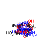 CC[C@H](C)[C@H](NC(=O)[C@H](CC(C)C)NC(=O)[C@H](CC(C)C)NC(=O)[C@H](CCCCN)NC(=O)[C@@H]1CCCN1C(=O)[C@@H]1CCCN1C(=O)[C@H](CCC(N)=O)NC(=O)CNC(=O)[C@@H]1CCCN1C(=O)[C@@H](N)CCCCN)C(=O)N[C@@H](Cc1ccc(O)cc1)C(=O)NCC(=O)N[C@@H](C)C(=O)N[C@@H](CO)C(=O)N[C@@H](CCCCN)C(=O)N[C@@H](CC(C)C)C(=O)N[C@@H](C)C(=O)N[C@@H](CO)C(=O)NCC(=O)N[C@H](C(=O)O)C(C)C